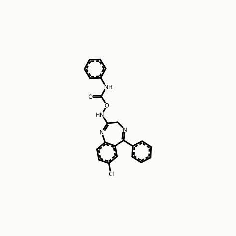 O=C(Nc1ccccc1)ONC1=Nc2ccc(Cl)cc2C(c2ccccc2)=NC1